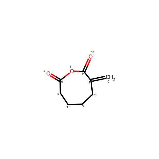 C=C1CCCCC(=O)OC1=O